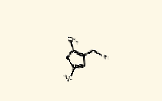 CC1=CC(CC(C)C)=C(C)C1